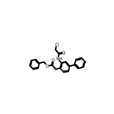 O=C(CCl)Nc1cc(-c2ccccc2)ccc1CC(=O)OCc1ccccc1